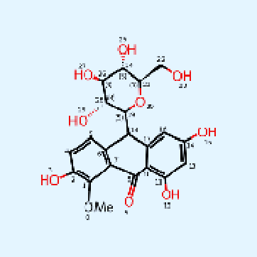 COc1c(O)ccc2c1C(=O)c1c(O)cc(O)cc1C2[C@@H]1O[C@H](CO)[C@@H](O)[C@H](O)[C@H]1O